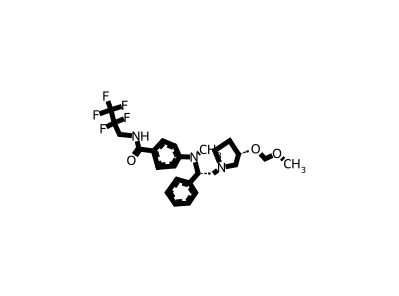 COCO[C@H]1CCN(C[C@H](c2ccccc2)N(C)c2ccc(C(=O)NCC(F)(F)C(F)(F)F)cc2)C1